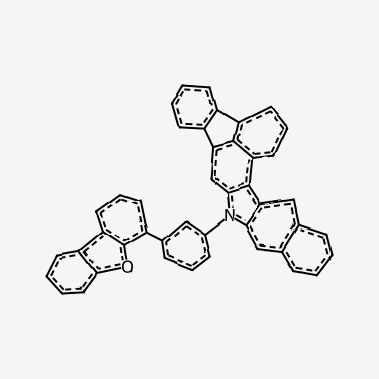 c1cc(-c2cccc3c2oc2ccccc23)cc(-n2c3cc4ccccc4cc3c3c4cccc5c4c(cc32)-c2ccccc2-5)c1